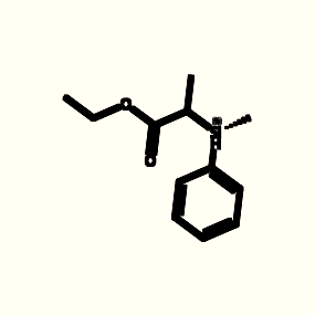 CCOC(=O)C(C)[Si@H](C)c1ccccc1